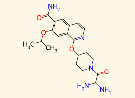 CC(C)Oc1cc2c(OC3CCN(C(=O)C(N)N)CC3)nccc2cc1C(N)=O